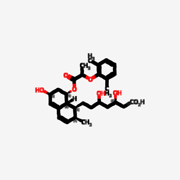 Cc1cccc(C)c1OC(C)C(=O)O[C@H]1C[C@H](O)C=C2C=C[C@H](C)[C@H](CCC(O)C[C@@H](O)CC(=O)O)[C@H]21